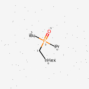 CCCCCCCP(=O)(C(C)C)C(C)CC